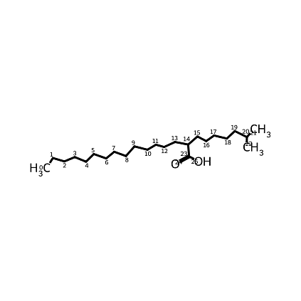 CCCCCCCCCCCCCCC(CCCCCC(C)C)C(=O)O